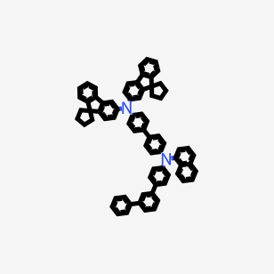 c1ccc(-c2cccc(-c3ccc(N(c4ccc(-c5ccc(N(c6ccc7c(c6)-c6ccccc6C76CCCC6)c6ccc7c(c6)C6(CCCC6)c6ccccc6-7)cc5)cc4)c4cccc5ccccc45)cc3)c2)cc1